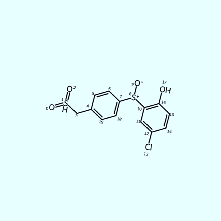 O=[SH](=O)Cc1ccc([S+]([O-])c2cc(Cl)ccc2O)cc1